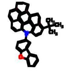 CC(C)(C)c1ccc(N(c2ccc3oc4ccccc4c3c2)c2ccc3ccccc3c2-c2ccccc2-c2ccccc2)c(-c2ccccc2)c1